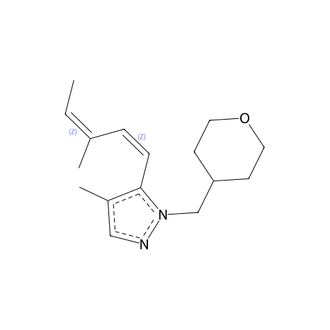 C/C=C(C)\C=C/c1c(C)cnn1CC1CCOCC1